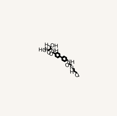 COCCCNCC(=O)Nc1ccc(-c2ccc(C(=O)N[C@H](C(=O)NO)[C@@H](C)O)cc2)cc1